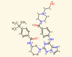 CC(C)(C)c1ccc(C(=O)N[C@@H]2CCCN(c3nc(Nc4ccc(C(=O)N5CCN(CCO)CC5)cc4)c4nccn4n3)C2)cc1